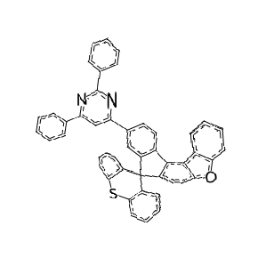 c1ccc(-c2cc(-c3ccc4c(c3)C3(c5ccccc5Sc5ccccc53)c3ccc5oc6ccccc6c5c3-4)nc(-c3ccccc3)n2)cc1